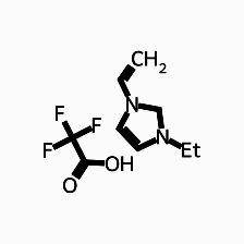 C=CN1C=CN(CC)C1.O=C(O)C(F)(F)F